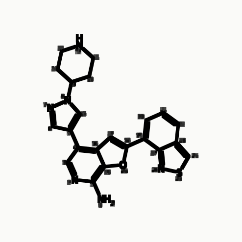 Nc1ncc(-c2cnn(C3CCNCC3)c2)c2cc(-c3cccc4csnc34)oc12